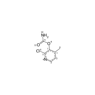 Cc1ccnc(Cl)c1OC(N)=O